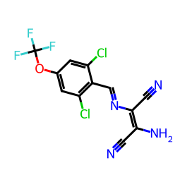 N#C/C(N)=C(C#N)\N=C\c1c(Cl)cc(OC(F)(F)F)cc1Cl